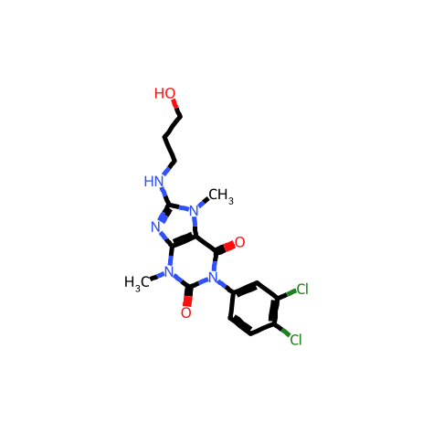 Cn1c(NCCCO)nc2c1c(=O)n(-c1ccc(Cl)c(Cl)c1)c(=O)n2C